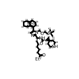 CCC(=O)CCCCC[C@H](NC(=O)[C@H]1CC12CCNCC2)c1ncc(-c2cccc3c2C2CCC3N2)n1COCC[Si](C)(C)C